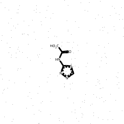 O=C(O)C(=O)Nc1nncs1